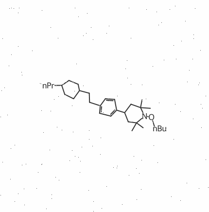 CCCCON1C(C)(C)CC(c2ccc(CCC3CCC(CCC)CC3)cc2)CC1(C)C